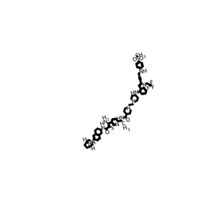 CC(NC(=O)C1CCN(CCN2CCC(Nc3cccc4c3cc(C#CCNc3ccc(S(C)(=O)=O)cc3)n4CC(F)(F)F)CC2)CC1)c1ccc2c(N)c(C(=O)N[C@H]3CCc4cc(N5C[C@H]6CC[C@@H](C5)N6)ccc4C3)sc2n1